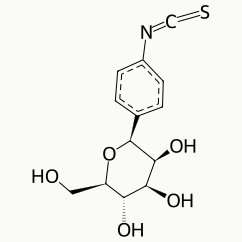 OC[C@H]1O[C@@H](c2ccc(N=C=S)cc2)[C@@H](O)[C@@H](O)[C@@H]1O